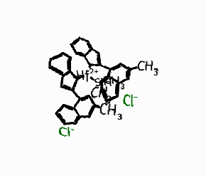 Cc1cc(C2=Cc3ccccc3[CH]2[Hf+2]([CH]2C(c3cc(C)cc4ccccc34)=Cc3ccccc32)[SiH](C)C)c2ccccc2c1.[Cl-].[Cl-]